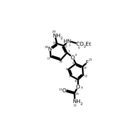 CCOC(=O)Nc1c(Oc2ccc(OC(N)=O)cc2F)ccnc1N